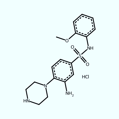 COc1ccccc1NS(=O)(=O)c1ccc(N2CCNCC2)c(N)c1.Cl